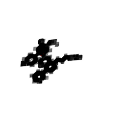 COCCCc1ccc(-c2cccnc2)cc1CN(C(=O)[C@@H]1CNCC[C@H]1c1ccn(C)c(=O)c1)C1CC1